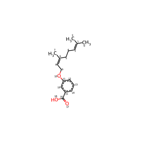 CC(C)=CCCC(C)=CCOc1cccc(C(=O)O)c1